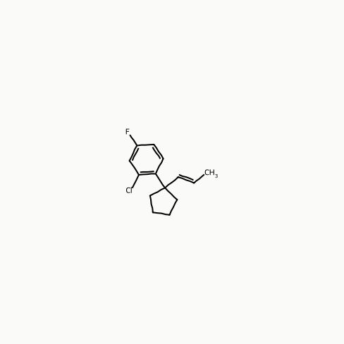 C/C=C/C1(c2ccc(F)cc2Cl)CCCC1